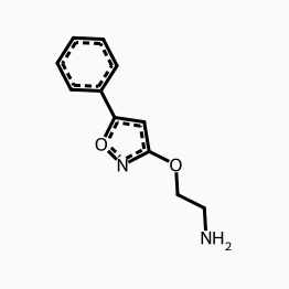 NCCOc1cc(-c2ccccc2)on1